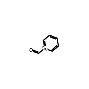 O=[CH][Ge]1=[CH]C=CC=[CH]1